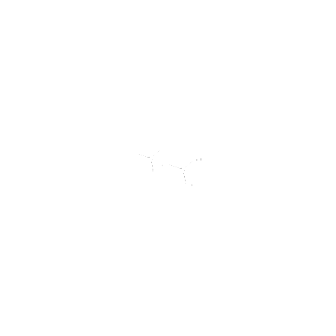 CCCCN(CCCC)CCCC.CCN(C)CC